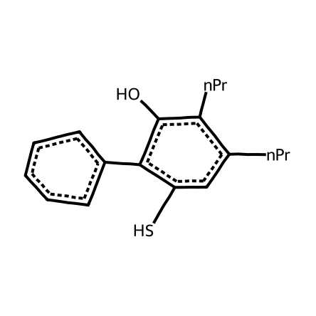 CCCc1cc(S)c(-c2ccccc2)c(O)c1CCC